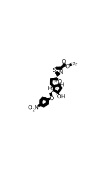 CC(C)OC(=O)c1csc([C@H]2CC[C@@H]3[C@@H](COc4ccc([N+](=O)[O-])cc4)[C@H](O)C[C@@H]3O2)n1